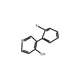 [CH]c1ccncc1-c1ccccc1F